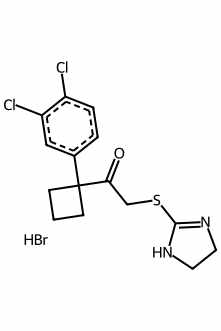 Br.O=C(CSC1=NCCN1)C1(c2ccc(Cl)c(Cl)c2)CCC1